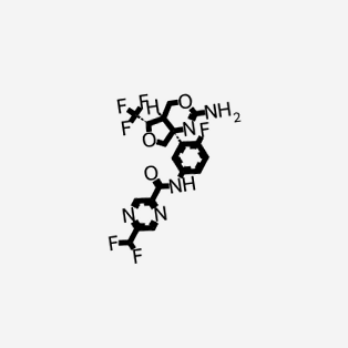 NC1=N[C@@]2(c3cc(NC(=O)c4cnc(C(F)F)cn4)ccc3F)CO[C@H](C(F)(F)F)[C@H]2CO1